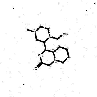 CN1CCN(CC(C)(C)C)C(C2NC(=O)CN3CCCCC23)C1